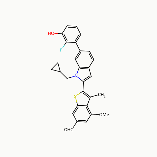 COc1cc(C=O)cc2sc(-c3cc4ccc(-c5cccc(O)c5F)cc4n3CC3CC3)c(C)c12